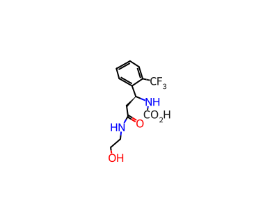 O=C(O)N[C@@H](CC(=O)NCCO)c1ccccc1C(F)(F)F